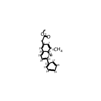 C.COC(=O)Cc1ccc2nc(-c3ccccc3)ccc2c1